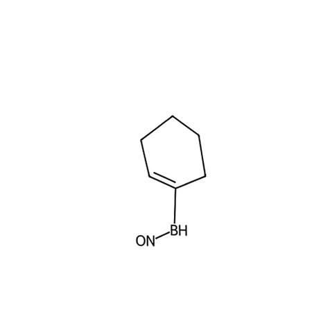 O=NBC1=CCCCC1